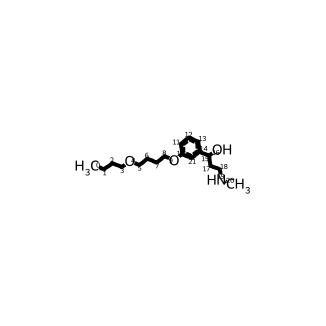 CCCCOCCCCOc1cccc(C(O)CCNC)c1